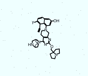 C#Cc1c(F)ccc2cc(O)cc(N3CCc4c(nc(OCC56CCCN5CCC6)nc4N4CC5CCCC4CN5)C3)c12